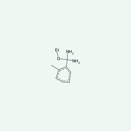 CCOC(N)(N)c1ccccc1C